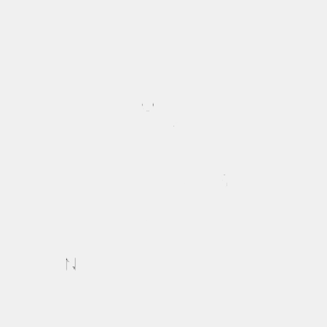 N#CCc1ccc2c(c1)SCc1ccccc1C2=O